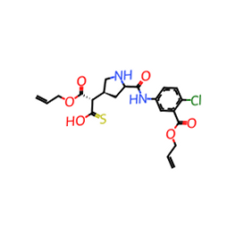 C=CCOC(=O)c1cc(NC(=O)C2C[C@@H]([C@@H](C(=O)OCC=C)C(O)=S)CN2)ccc1Cl